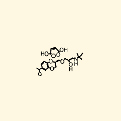 CC(=O)c1ccc2c(c1)OCC(COCC(O)CNC(C)(C)C)O2.O=C(O)/C=C\C(=O)O